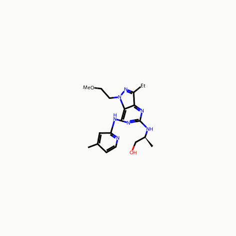 CCc1nn(CCOC)c2c(Nc3cc(C)ccn3)nc(N[C@@H](C)CO)nc12